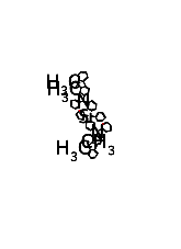 CC1(C)c2ccccc2-c2ccc(N(c3ccccc3)c3cccc([Si](c4ccccc4)(c4ccccc4)c4cccc(N(C5=CC=C6c7ccccc7C(C)(C)C6C5)c5ccccc5)c4)c3)cc21